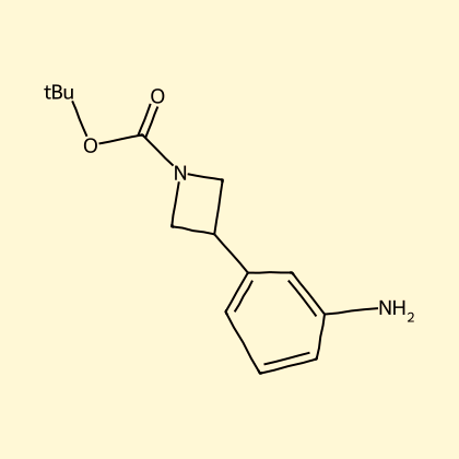 CC(C)(C)OC(=O)N1CC(c2cccc(N)c2)C1